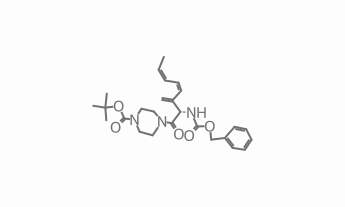 C=C(/C=C\C=C/C)[C@H](NC(=O)OCc1ccccc1)C(=O)N1CCN(C(=O)OC(C)(C)C)CC1